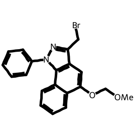 COCOc1cc2c(CBr)nn(-c3ccccc3)c2c2ccccc12